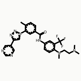 Cc1ccc(C(=O)Nc2ccc(N(C)CCN(C)C)c(C(F)(F)F)c2)cc1-n1cc(-c2cncnc2)nn1